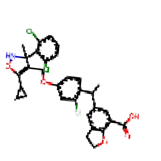 CC(c1cc2c(c(C(=O)O)c1)OCC2)c1ccc(OCC2=C(C3CC3)ONC2(C)c2c(Cl)cccc2Cl)cc1Cl